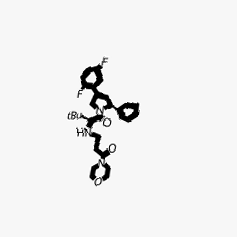 CC(C)(C)[C@H](NCCC(=O)N1CCOCC1)C(=O)N1CC(c2cc(F)ccc2F)=C[C@H]1c1ccccc1